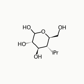 CC(C)[C@@H]1[C@@H](O)[C@H](O)C(O)O[C@H]1CO